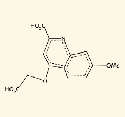 COc1ccc2c(OCC(=O)O)cc(C(=O)O)nc2c1